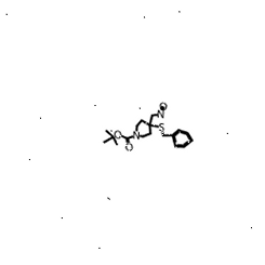 CC(C)(C)OC(=O)N1CCC(CN=O)(SCc2ccccc2)CC1